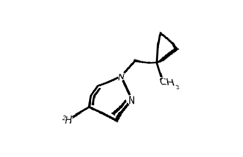 [2H]c1cnn(CC2(C)CC2)c1